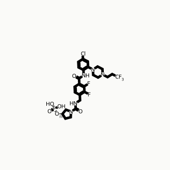 O=C(Nc1ccc(Cl)cc1N1CCN(CCC(F)(F)F)CC1)c1ccc(CNC(=O)N2CC[C@H](OP(=O)(O)O)C2)c(F)c1F